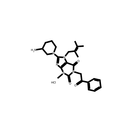 CC(C)=C(C)Cn1c(N2CCCC(N)C2)nc2c1c(=O)n(CC(=O)c1ccccc1)c(=O)n2C.Cl